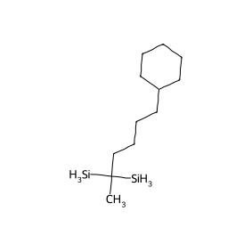 CC([SiH3])([SiH3])CCCCC1CCCCC1